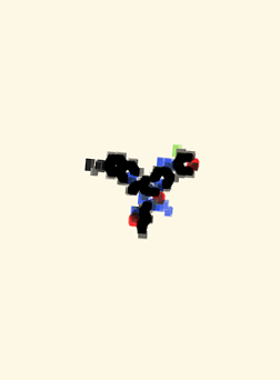 C=C(/C(C)=C(\N=C(/N)c1cc(C)on1)C(=O)N1CCC(N[C@@H]2CCOC[C@@H]2F)CC1)N1CCc2ccc(C(F)(F)F)cc2C1